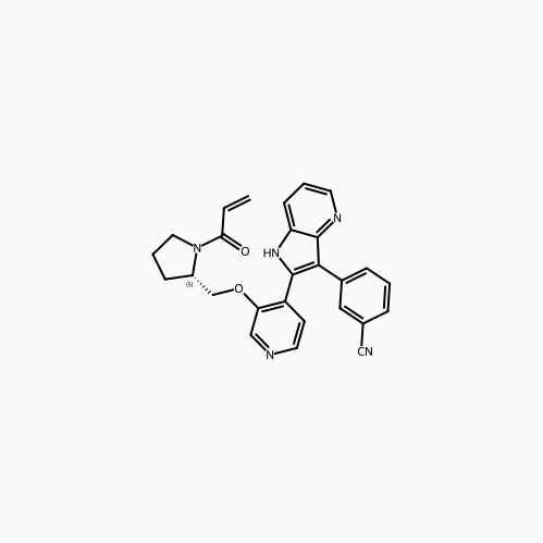 C=CC(=O)N1CCC[C@H]1COc1cnccc1-c1[nH]c2cccnc2c1-c1cccc(C#N)c1